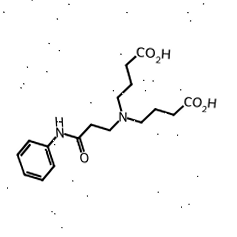 O=C(O)CCCN(CCCC(=O)O)CCC(=O)Nc1ccccc1